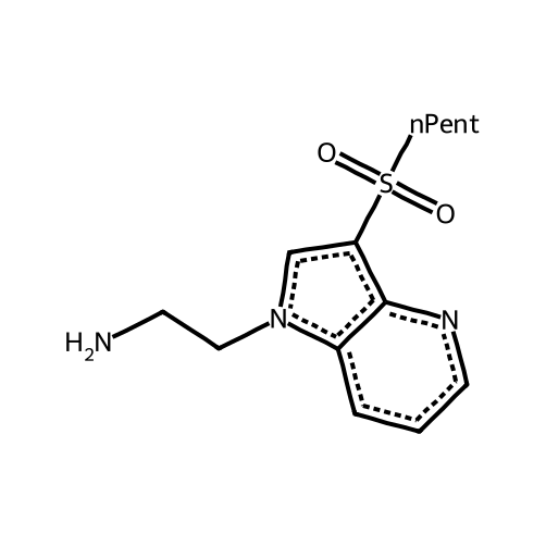 CCCCCS(=O)(=O)c1cn(CCN)c2cccnc12